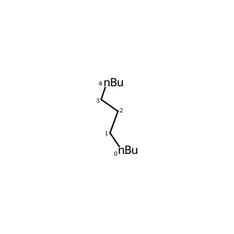 [CH2]CCCCCCCC[CH]C